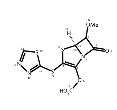 COC1C(=O)N2C(OC(=O)O)=C(Sc3nncs3)S[C@@H]12